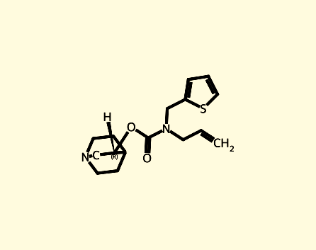 C=CCN(Cc1cccs1)C(=O)O[C@H]1CN2CCC1CC2